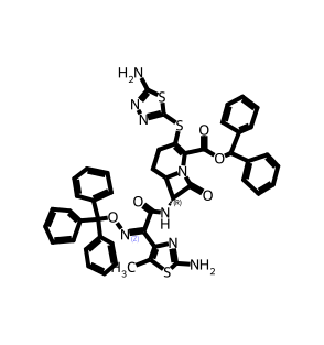 Cc1sc(N)nc1/C(=N/OC(c1ccccc1)(c1ccccc1)c1ccccc1)C(=O)N[C@H]1C(=O)N2C(C(=O)OC(c3ccccc3)c3ccccc3)=C(Sc3nnc(N)s3)CCC12